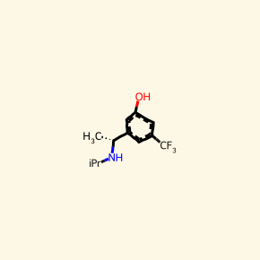 CC(C)N[C@H](C)c1cc(O)cc(C(F)(F)F)c1